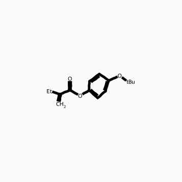 C=C(CC)C(=O)Oc1ccc(OC(C)(C)C)cc1